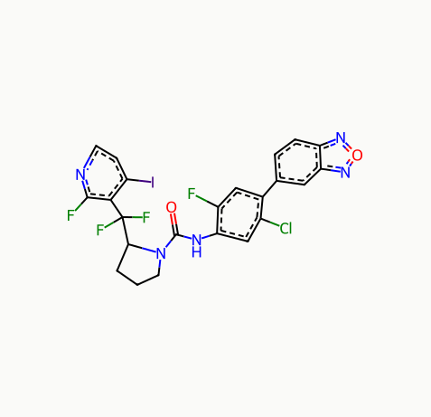 O=C(Nc1cc(Cl)c(-c2ccc3nonc3c2)cc1F)N1CCCC1C(F)(F)c1c(I)ccnc1F